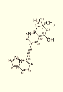 CC1(C)CC2=NCC(C#Cc3cccc4ccnn34)=CC2=C(O)C1